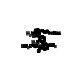 CCCCCCCCCCCCCCc1ccc(N)cc1.CCCc1ccccc1N.Nc1ccc(C(=O)NCCC(=O)O)cc1